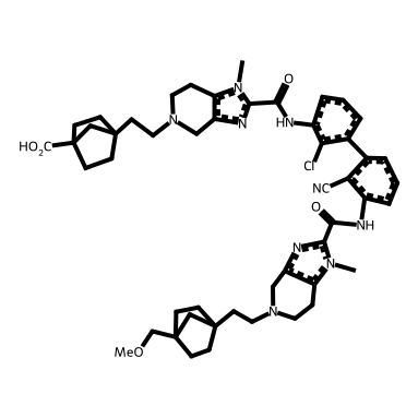 COCC12CCC(CCN3CCc4c(nc(C(=O)Nc5cccc(-c6cccc(NC(=O)c7nc8c(n7C)CCN(CCC79CCC(C(=O)O)(CC7)C9)C8)c6Cl)c5C#N)n4C)C3)(CC1)C2